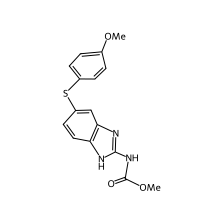 COC(=O)Nc1nc2cc(Sc3ccc(OC)cc3)ccc2[nH]1